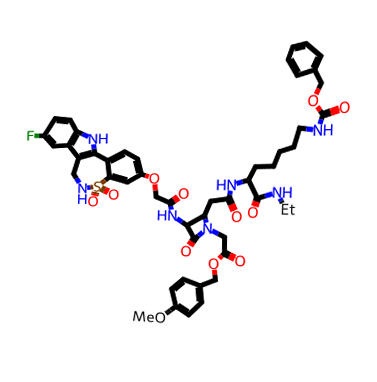 CCNC(=O)C(CCCCCNC(=O)OCc1ccccc1)NC(=O)CC1C(NC(=O)COc2ccc3c(c2)S(=O)(=O)NCc2c-3[nH]c3ccc(F)cc23)C(=O)N1CC(=O)OCc1ccc(OC)cc1